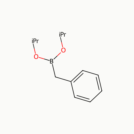 CC(C)OB(Cc1ccccc1)OC(C)C